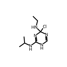 CCNC1(Cl)N=CNC(NC(C)C)=N1